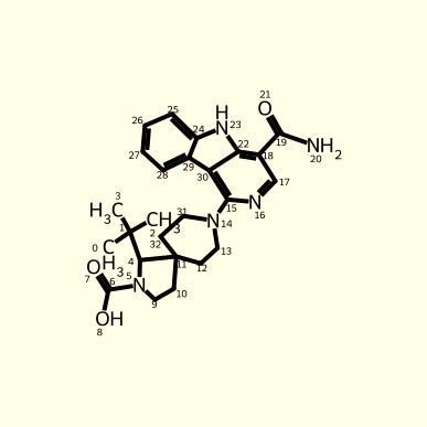 CC(C)(C)C1N(C(=O)O)CCC12CCN(c1ncc(C(N)=O)c3[nH]c4ccccc4c13)CC2